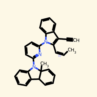 C#Cc1c(/C=C\C)n(-c2cccc(N3c4ccccc4C4C=CC=CC43C)n2)c2ccccc12